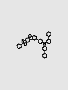 c1ccc(-c2ccc(N(c3ccc(-c4ccc5oc6cc7nc(-c8ccccc8)oc7cc6c5c4)cc3)c3cccc(-c4ccccc4)c3)cc2)cc1